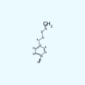 C=CCCCc1ccc(F)cc1